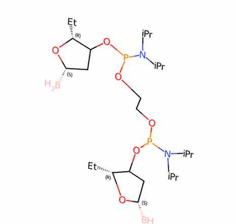 B[C@H]1CC(OP(OCCOP(OC2C[C@H](B)O[C@@H]2CC)N(C(C)C)C(C)C)N(C(C)C)C(C)C)[C@@H](CC)O1